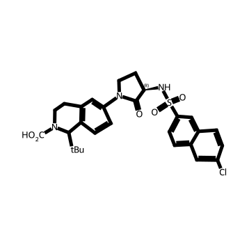 CC(C)(C)C1c2ccc(N3CC[C@@H](NS(=O)(=O)c4ccc5cc(Cl)ccc5c4)C3=O)cc2CCN1C(=O)O